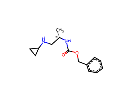 C[C@@H](CNC1CC1)NC(=O)OCc1ccccc1